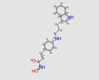 O=C(/C=C/c1ccc(NCCCc2c[nH]c3ccccc23)cc1)NO